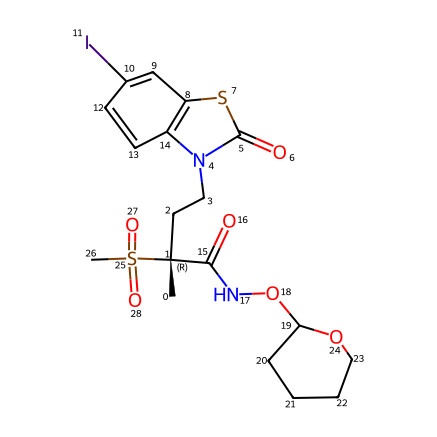 C[C@@](CCn1c(=O)sc2cc(I)ccc21)(C(=O)NOC1CCCCO1)S(C)(=O)=O